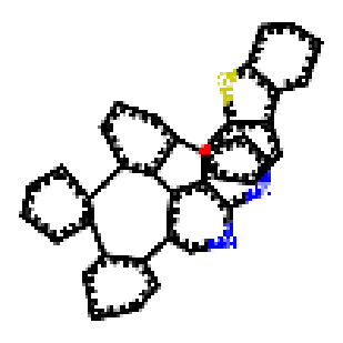 c1ccc2c(c1)-c1ccccc1-c1cnc3ncccc3c1-c1c-2cccc1-c1cccc2c1sc1ccccc12